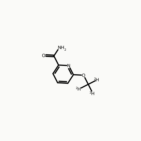 [2H]C([2H])([2H])Oc1cccc(C(N)=O)n1